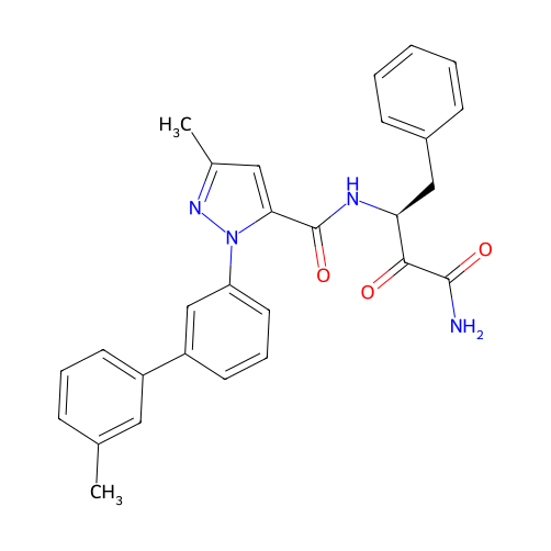 Cc1cccc(-c2cccc(-n3nc(C)cc3C(=O)N[C@@H](Cc3ccccc3)C(=O)C(N)=O)c2)c1